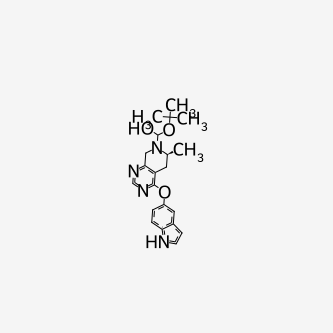 C[C@H]1Cc2c(ncnc2Oc2ccc3[nH]ccc3c2)CN1C(O)OC(C)(C)C